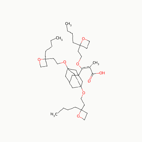 CCCCC1(CCOC(=C(C)C(=O)O)C23CC4CC(OCCC5(CCCC)CCO5)(CC(OCCC5(CCCC)CCO5)(C4)C2)C3)CCO1